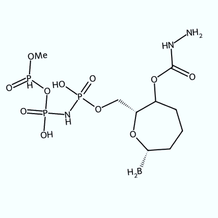 B[C@H]1CCCC(OC(=O)NN)[C@@H](COP(=O)(O)NP(=O)(O)O[PH](=O)OC)O1